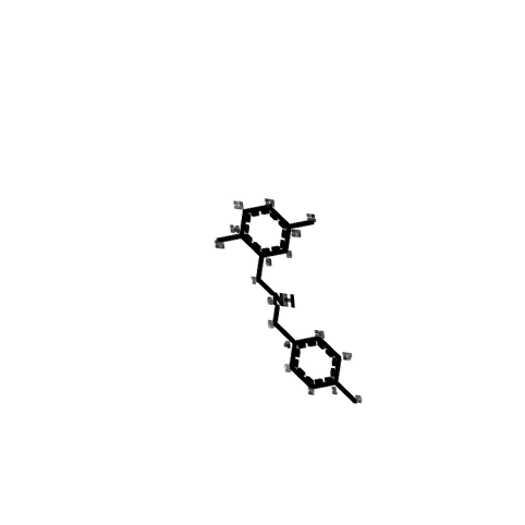 Cc1ccc(CNCc2cc(C)ccc2C)cc1